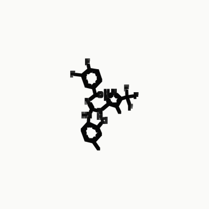 Cc1ccc(N/C(=N/C(=O)c2ccc(F)c(F)c2)Nc2[nH]nc(C(F)(F)F)c2C)c(Cl)c1